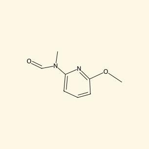 COc1cccc(N(C)C=O)n1